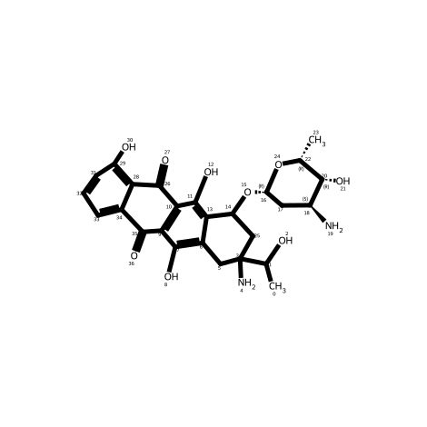 CC(O)C1(N)Cc2c(O)c3c(c(O)c2C(O[C@H]2C[C@H](N)[C@@H](O)[C@@H](C)O2)C1)C(=O)c1c(O)cccc1C3=O